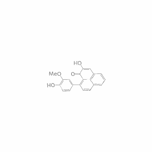 COc1cc(-c2ccc3cccc4c3c2C(=O)C(O)=C4)ccc1O